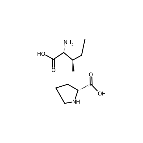 CC[C@@H](C)[C@@H](N)C(=O)O.O=C(O)[C@H]1CCCN1